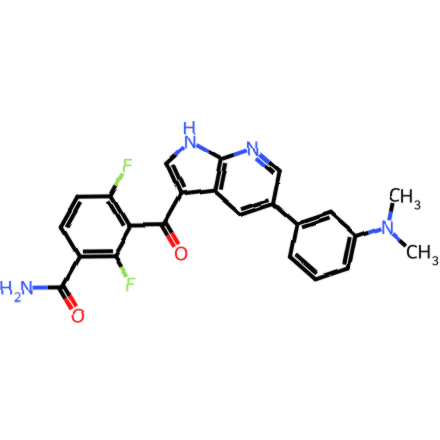 CN(C)c1cccc(-c2cnc3[nH]cc(C(=O)c4c(F)ccc(C(N)=O)c4F)c3c2)c1